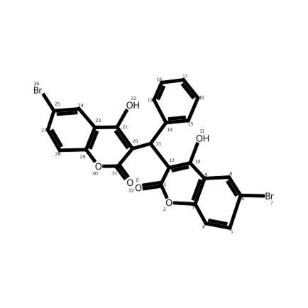 O=c1oc2ccc(Br)cc2c(O)c1C(c1ccccc1)c1c(O)c2cc(Br)ccc2oc1=O